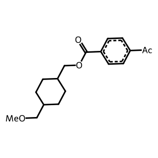 COCC1CCC(COC(=O)c2ccc(C(C)=O)cc2)CC1